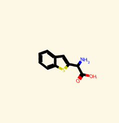 NC(C(=O)O)c1cc2ccccc2s1